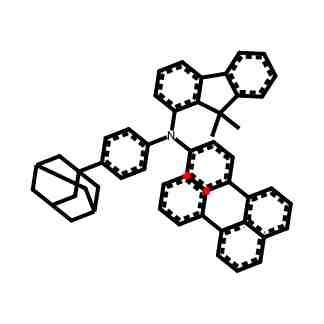 CC1(C)c2ccccc2-c2cccc(N(c3ccc(-c4cccc5cccc(-c6ccccc6)c45)cc3)c3ccc(C45CC6CC(CC(C6)C4)C5)cc3)c21